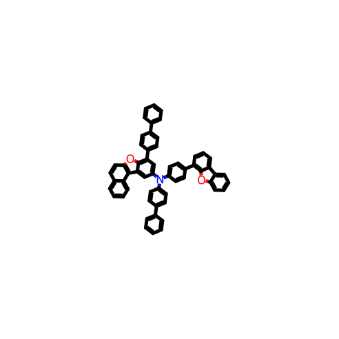 c1ccc(-c2ccc(-c3cc(N(c4ccc(-c5ccccc5)cc4)c4ccc(-c5cccc6c5oc5ccccc56)cc4)cc4c3oc3ccc5ccccc5c34)cc2)cc1